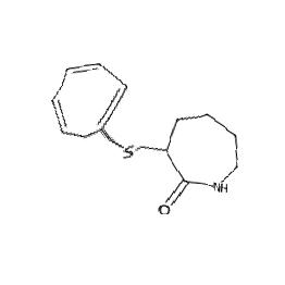 O=C1NCCCCC1Sc1ccccc1